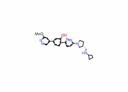 COc1cc(-c2ccc(-c3ccc(N4CC[C@H](CNC5CCC5)C4)nn3)c(O)c2)cnn1